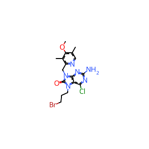 COc1c(C)cnc(Cn2c(=O)n(CCCBr)c3c(Cl)nc(N)nc32)c1C